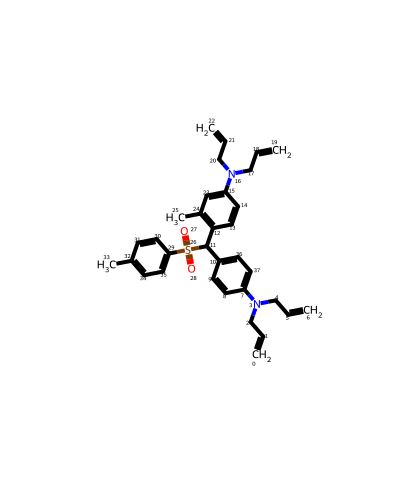 C=CCN(CC=C)c1ccc(C(c2ccc(N(CC=C)CC=C)cc2C)S(=O)(=O)c2ccc(C)cc2)cc1